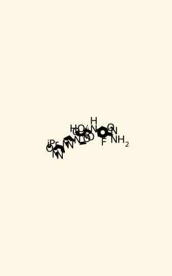 CC(C)Oc1cc(-n2ccc(N3CCO[C@H]([C@@](C)(O)C(=O)Nc4cc(F)c5c(N)noc5c4)C3=O)n2)cnn1